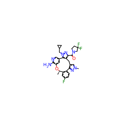 C[C@H]1Oc2cc(cnc2N)-c2c(c(C(=O)N3CCC(F)(F)C3)nn2CC2CC2)Cc2cn(C)nc2-c2ccc(F)cc21